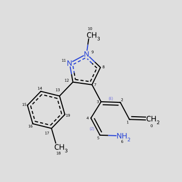 C=C/C=C(\C=C/N)c1cn(C)nc1-c1cccc(C)c1